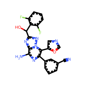 N#Cc1cccc(-c2nc(N)c3nc(C(O)c4c(F)cccc4F)nn3c2-c2cnco2)c1